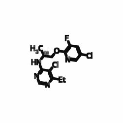 CCc1ncnc(N[C@@H](C)COc2ncc(Cl)cc2F)c1Cl